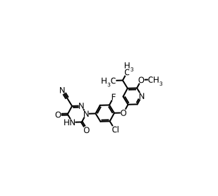 COc1ncc(Oc2c(F)cc(-n3nc(C#N)c(=O)[nH]c3=O)cc2Cl)cc1C(C)C